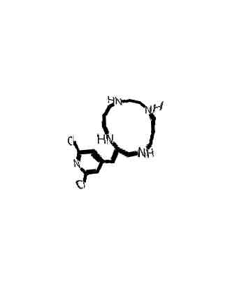 Clc1cc(C=C2CNCCCNCCNCCCN2)cc(Cl)n1